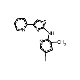 Cc1cc(I)cnc1Nc1nc(-c2ccccn2)cs1